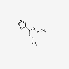 C[CH]OC(CCC)c1ccco1